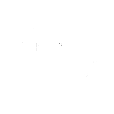 C=C(C)C(=O)NCCN(C)c1ccc(C(=O)OCC)cc1